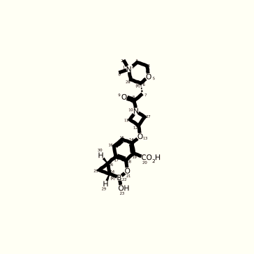 C[N+]1(C)CCO[C@H](CC(=O)N2CC(Oc3ccc4c(c3C(=O)O)OB(O)[C@@H]3C[C@H]43)C2)C1